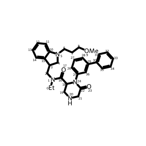 CCN(CC1CN(CCCOC)c2ccccc21)C(=O)C1CNCC(=O)N1c1cccc(-c2ccccc2)c1